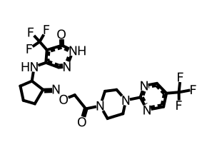 O=C(CON=C1CCCC1Nc1cn[nH]c(=O)c1C(F)(F)F)N1CCN(c2ncc(C(F)(F)F)cn2)CC1